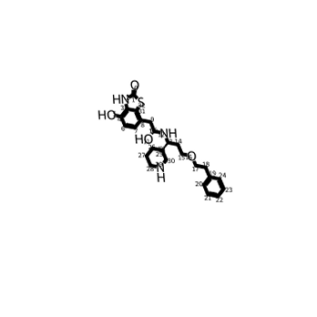 O=c1[nH]c2c(O)ccc(C[C@@H](O)NC(CCOCCc3ccccc3)[C@@H]3CCCNC3)c2s1